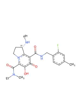 CCCN[C@H]1CCn2c(C(=O)N(C)CC)c(O)c(=O)c(C(=O)NCc3ccc(C)cc3F)c21